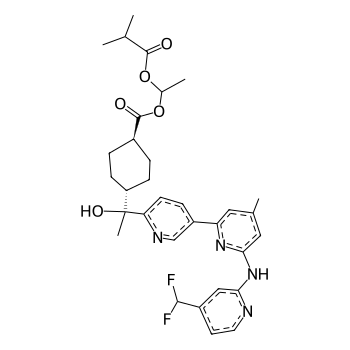 Cc1cc(Nc2cc(C(F)F)ccn2)nc(-c2ccc(C(C)(O)[C@H]3CC[C@H](C(=O)OC(C)OC(=O)C(C)C)CC3)nc2)c1